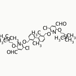 Cc1c(COc2nc(OCC[Si](C)(C)C)c(C=O)cc2Cl)cccc1-c1cccc(COc2nc(OCC[Si](C)(C)C)c(C=O)cc2Cl)c1C